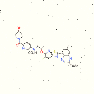 COc1cnc2c(-c3nc4cc(F)c(O[C@@H](C)[C@@H](C)N(C(=O)O)c5ccc(C(=O)N6CCC(O)CC6)nc5)nc4s3)cc(C)cc2n1